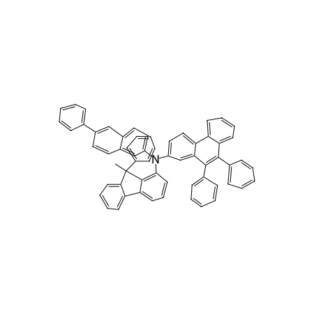 CC1(c2ccccc2)c2ccccc2-c2cccc(N(c3ccc4cc(-c5ccccc5)ccc4c3)c3ccc4c(c3)c(-c3ccccc3)c(-c3ccccc3)c3ccccc34)c21